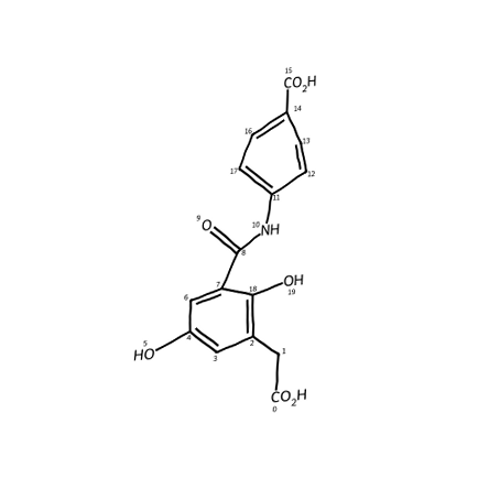 O=C(O)Cc1cc(O)cc(C(=O)Nc2ccc(C(=O)O)cc2)c1O